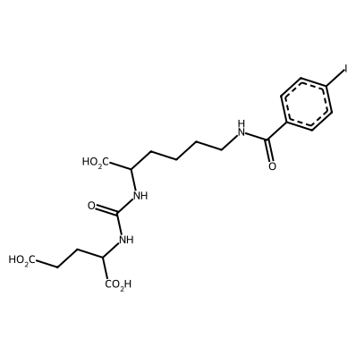 O=C(O)CCC(NC(=O)NC(CCCCNC(=O)c1ccc(I)cc1)C(=O)O)C(=O)O